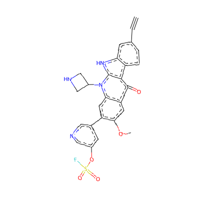 C#Cc1ccc2c(c1)[nH]c1c2c(=O)c2cc(OC)c(-c3cncc(OS(=O)(=O)F)c3)cc2n1C1CNC1